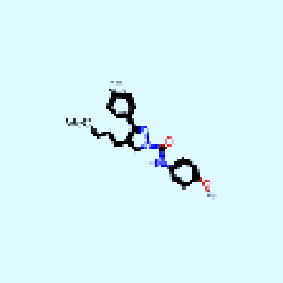 CCOc1ccc(NC(=O)N2CC(CCCOC)C(c3ccc(C(F)(F)F)cc3)=N2)cc1